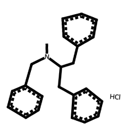 CN(Cc1ccccc1)C(Cc1ccccc1)Cc1ccccc1.Cl